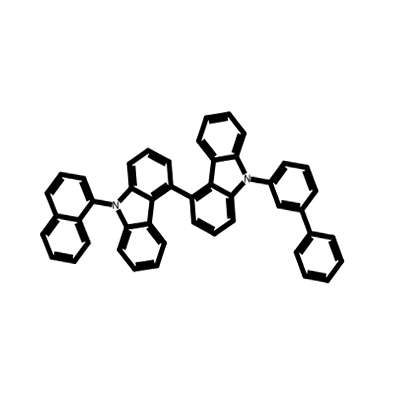 c1ccc(-c2cccc(-n3c4ccccc4c4c(-c5cccc6c5c5ccccc5n6-c5cccc6ccccc56)cccc43)c2)cc1